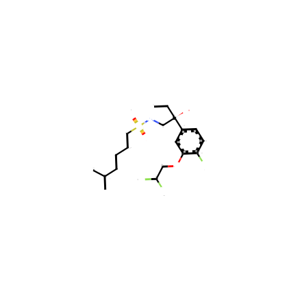 CC[C@@](O)(CNS(=O)(=O)CCCCC(C)C)c1ccc(F)c(OCC(F)F)c1